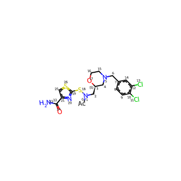 CC(=O)N(C[C@@H]1CN(Cc2ccc(Cl)c(Cl)c2)CCO1)Sc1nc(C(N)=O)cs1